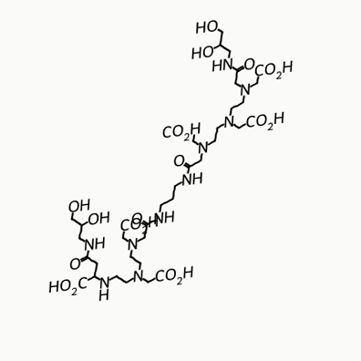 O=C(O)CN(CCNC(CC(=O)NCC(O)CO)C(=O)O)CCN(CC(=O)O)CC(=O)NCCCNC(=O)CN(CCN(CCN(CC(=O)O)CC(=O)NCC(O)CO)CC(=O)O)CC(=O)O